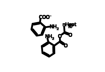 CCCCCCCC(=O)OC(=O)c1ccccc1N.Nc1ccccc1C(=O)[O-].[K+]